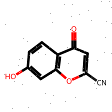 N#Cc1cc(=O)c2ccc(O)cc2o1